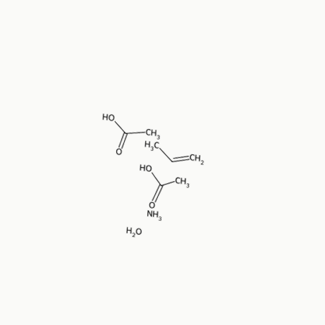 C=CC.CC(=O)O.CC(=O)O.N.O